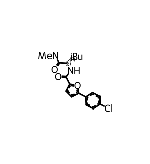 CC[C@@H](C)[C@H](NC(=O)c1ccc(-c2ccc(Cl)cc2)o1)C(=O)NC